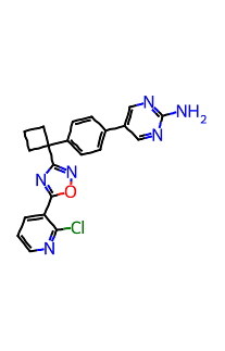 Nc1ncc(-c2ccc(C3(c4noc(-c5cccnc5Cl)n4)CCC3)cc2)cn1